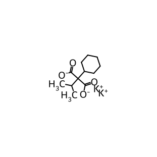 CC(C)C(C(=O)[O-])(C(=O)[O-])C1CCCCC1.[K+].[K+]